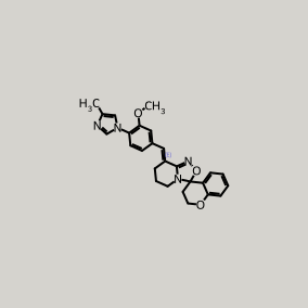 COc1cc(/C=C2\CCCN3C2=NOC32CCOc3ccccc32)ccc1-n1cnc(C)c1